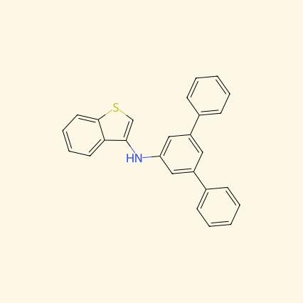 c1ccc(-c2cc(Nc3csc4ccccc34)cc(-c3ccccc3)c2)cc1